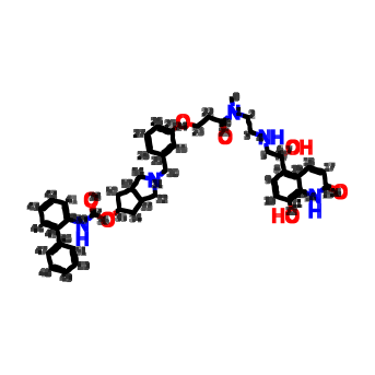 CN(CCNC[C@H](O)c1ccc(O)c2[nH]c(=O)ccc12)C(=O)CCOc1cccc(CN2CC3CC(OC(=O)Nc4ccccc4-c4ccccc4)CC3C2)c1